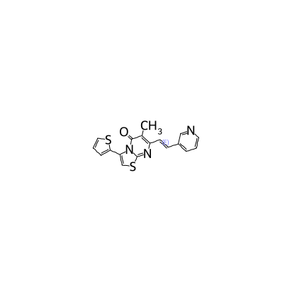 Cc1c(/C=C/c2cccnc2)nc2scc(-c3cccs3)n2c1=O